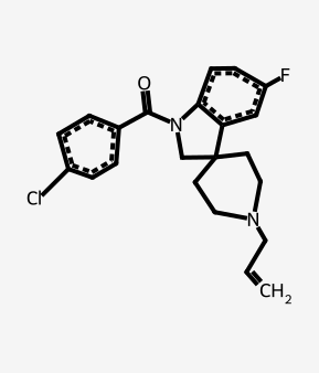 C=CCN1CCC2(CC1)CN(C(=O)c1ccc(Cl)cc1)c1ccc(F)cc12